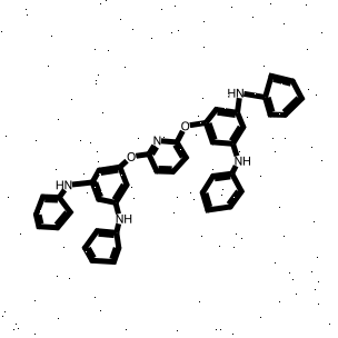 c1ccc(Nc2cc(Nc3ccccc3)cc(Oc3cccc(Oc4cc(Nc5ccccc5)cc(Nc5ccccc5)c4)n3)c2)cc1